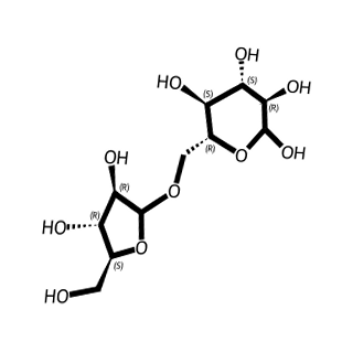 OC[C@@H]1OC(OC[C@H]2OC(O)[C@H](O)[C@@H](O)[C@@H]2O)[C@H](O)[C@H]1O